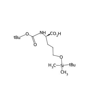 CC(C)(C)OC(=O)N[C@H](CCCO[Si](C)(C)C(C)(C)C)C(=O)O